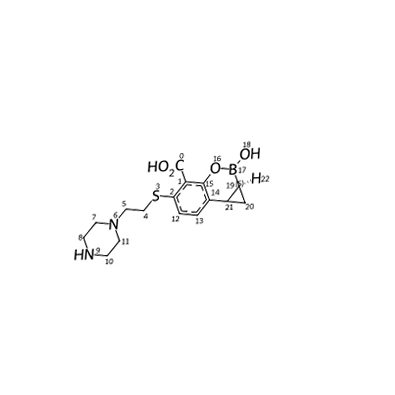 O=C(O)c1c(SCCN2CCNCC2)ccc2c1OB(O)[C@H]1CC21